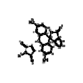 O=C1C=CC(=O)N1Br.O=C1OC2(c3ccc(O)cc3Oc3cc(O)ccc32)c2ccccc21